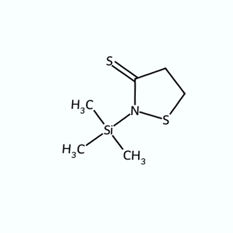 C[Si](C)(C)N1SCCC1=S